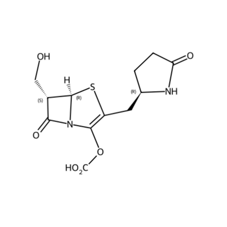 O=C1CC[C@H](CC2=C(OC(=O)O)N3C(=O)[C@H](CO)[C@H]3S2)N1